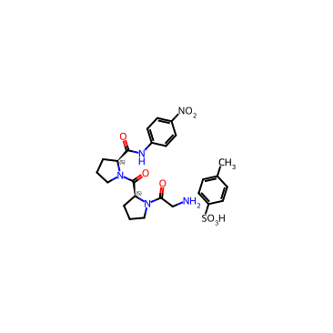 Cc1ccc(S(=O)(=O)O)cc1.NCC(=O)N1CCC[C@H]1C(=O)N1CCC[C@H]1C(=O)Nc1ccc([N+](=O)[O-])cc1